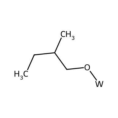 CCC(C)C[O][W]